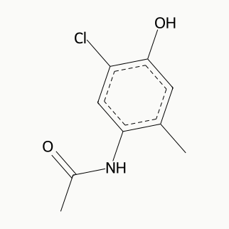 CC(=O)Nc1cc(Cl)c(O)cc1C